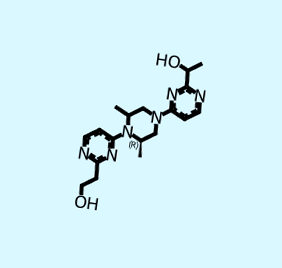 CC(O)c1nccc(N2CC(C)N(c3ccnc(CCO)n3)[C@H](C)C2)n1